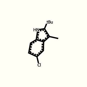 Cc1c(C(C)(C)C)[nH]c2ccc(Cl)cc12